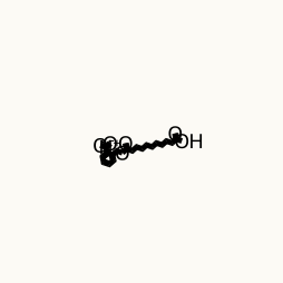 O=C(O)CCCCCCCCCC(=O)OCc1ccccc1[N+](=O)[O-]